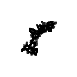 O=c1ccc2c(F)ccc3c2n1CCC3CN1CC[C@H](NCc2cc3c(cn2)OCCO3)[C@H](O)C1